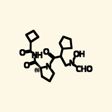 O=CN(O)CC(C(=O)N1CCC[C@H]1C(=O)NC(=O)C1CCC1)C1CCCC1